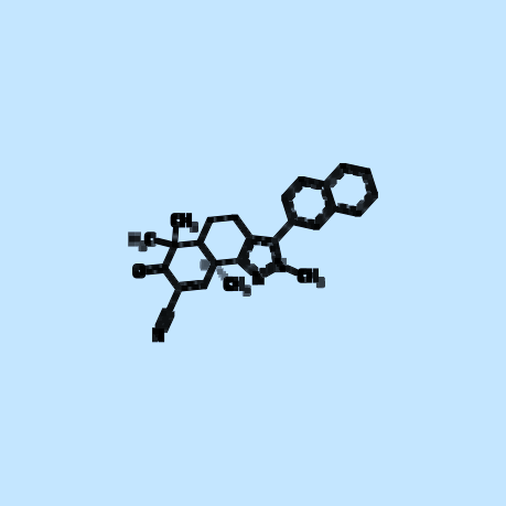 Cn1nc2c(c1-c1ccc3ccccc3c1)CCC1C(C)(C)C(=O)C(C#N)=C[C@]21C